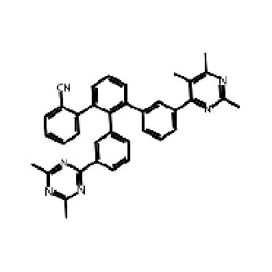 Cc1nc(C)nc(-c2cccc(-c3c(-c4cccc(-c5nc(C)nc(C)c5C)c4)cccc3-c3ccccc3C#N)c2)n1